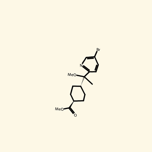 COC(=O)[C@H]1CC[C@H](C(C)(OC)c2ccc(Br)cn2)CC1